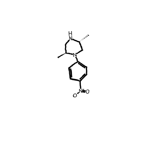 C[C@@H]1CN(c2ccc([N+](=O)[O-])cc2)[C@@H](C)CN1